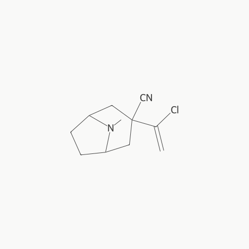 C=C(Cl)C1(C#N)CC2CCC(C1)N2C